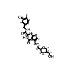 O=C(NCc1ccc(F)c(Cl)c1)c1nc2scc(COCC3COC(CO)CO3)c2c(=O)[nH]1